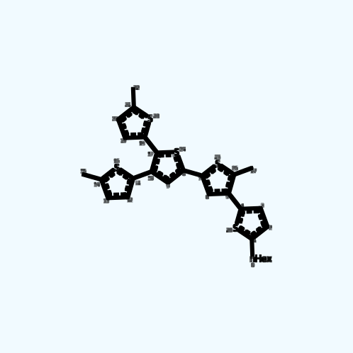 CCCCCCc1ccc(-c2cc(-c3cc(-c4ccc(C)s4)c(-c4ccc(C)s4)s3)sc2C)s1